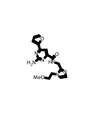 COCCn1ccnc1CNC(=O)c1cc(-c2ccco2)nc(N)n1